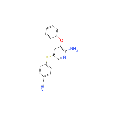 N#Cc1ccc(Sc2cnc(N)c(Oc3ccccc3)c2)cc1